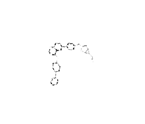 OCC1C2CN(Cc3ccc(-c4ccc5ncnc(Nc6ccc(-c7ccccc7)cc6)c5c4)cc3)CC12